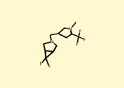 CN1CC(CN2CC3C(C2)C3(F)F)CC1C(F)(F)F